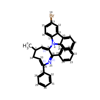 CC1\C=C(n2c3ccccc3c3cc(Br)ccc32)/C(c2ccccc2)=N\C(c2ccccc2)=C\C1